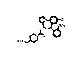 COc1ccccc1[C@H]1O[C@H](CC(=O)N2CCC(CC(=O)O)CC2)c2cccn2-c2ccc(Cl)cc21